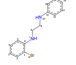 Brc1ccccc1NCCNc1ccccc1